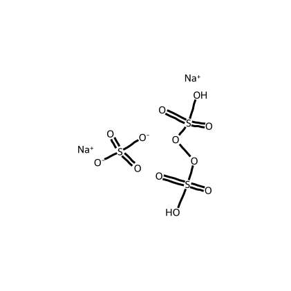 O=S(=O)(O)OOS(=O)(=O)O.O=S(=O)([O-])[O-].[Na+].[Na+]